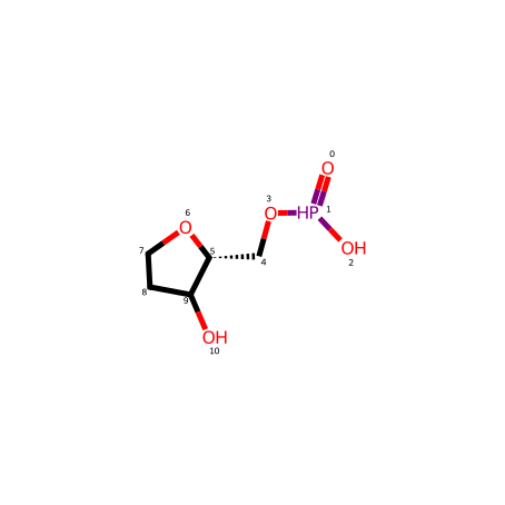 O=[PH](O)OC[C@H]1OCCC1O